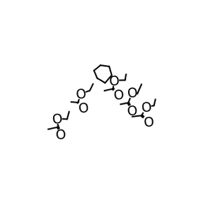 C1CCCCC1.CCOC(C)=O.CCOC(C)=O.CCOC(C)=O.CCOC(C)=O.CCOC(C)=O